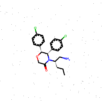 CCC[C@@H](CN)N1C(=O)CO[C@H](c2ccc(Cl)cc2)[C@@H]1c1ccc(Cl)cc1